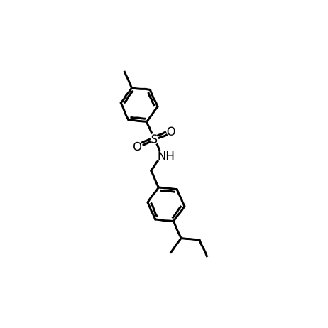 CCC(C)c1ccc(CNS(=O)(=O)c2ccc(C)cc2)cc1